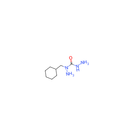 NNC(=O)N(N)CC1CCCCC1